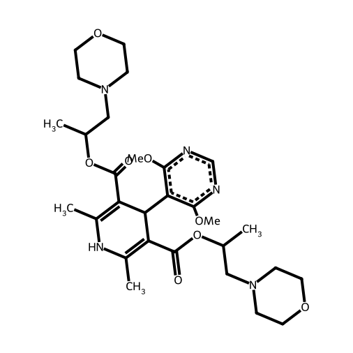 COc1ncnc(OC)c1C1C(C(=O)OC(C)CN2CCOCC2)=C(C)NC(C)=C1C(=O)OC(C)CN1CCOCC1